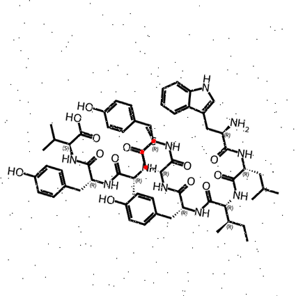 CC[C@@H](C)[C@@H](NC(=O)[C@@H](CC(C)C)NC(=O)[C@H](N)Cc1c[nH]c2ccccc12)C(=O)N[C@H](Cc1ccc(O)cc1)C(=O)N[C@H](CCSC)C(=O)N[C@H](Cc1ccc(O)cc1)C(=O)N[C@H](C)C(=O)N[C@H](Cc1ccc(O)cc1)C(=O)N[C@H](C(=O)O)C(C)C